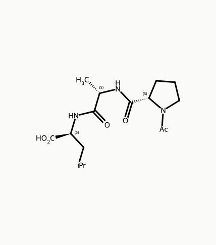 CC(=O)N1CCC[C@H]1C(=O)N[C@@H](C)C(=O)N[C@@H](CC(C)C)C(=O)O